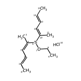 CC=CC=[C](C)[Ti]([O]CC)[C](C)=CC=CC.Cl